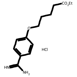 CCOC(=O)CCCCOc1ccc(C(=N)N)cc1.Cl